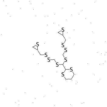 C1CSC(C(SCSSCC2CS2)SCSSCC2CS2)SC1